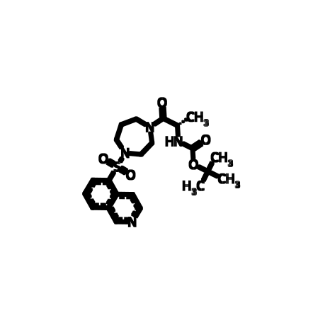 C[C@H](NC(=O)OC(C)(C)C)C(=O)N1CCCN(S(=O)(=O)c2cccc3cnccc23)CC1